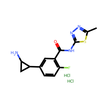 Cc1nnc(NC(=O)c2cc(C3CC3N)ccc2F)s1.Cl.Cl